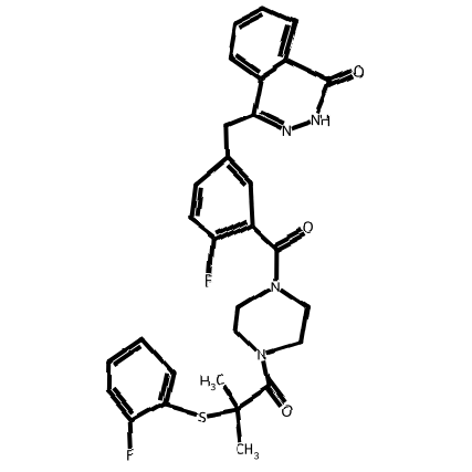 CC(C)(Sc1ccccc1F)C(=O)N1CCN(C(=O)c2cc(Cc3n[nH]c(=O)c4ccccc34)ccc2F)CC1